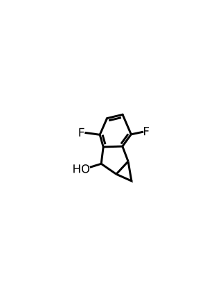 OC1c2c(F)ccc(F)c2C2CC12